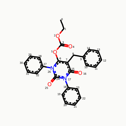 CCOC(=O)Oc1c(Cc2ccccc2)c(=O)n(-c2ccccc2)c(=O)n1-c1ccccc1